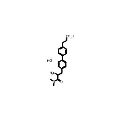 CN(C)C(=O)C(N)Cc1ccc(-c2ccc(CCC(=O)O)cc2)cc1.Cl